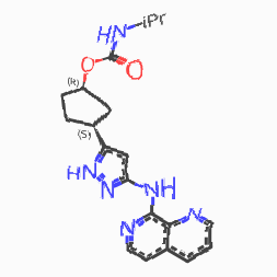 CC(C)NC(=O)O[C@@H]1CC[C@H](c2cc(Nc3nccc4cccnc34)n[nH]2)C1